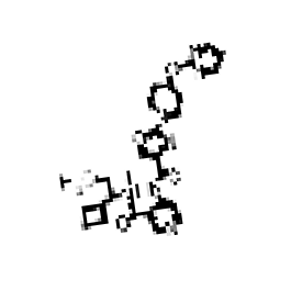 CCC(NC(=O)c1cnccc1NC(=O)c1coc(N2CCC(Oc3ncccn3)CC2)n1)C1CCC1